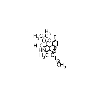 COCCOC(=O)C1=C(C)NC(C)=C(C(=O)OC(C)C)C1c1cc(F)ccc1F